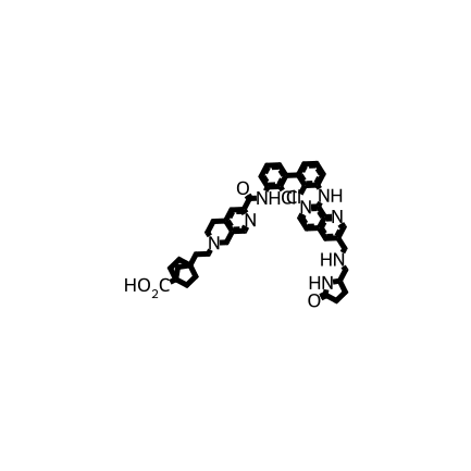 O=C1CCC(CNCc2cnc3c(Nc4cccc(-c5cccc(NC(=O)c6cc7c(cn6)CN(CCC68CCC(C(=O)O)(CC6)C8)CC7)c5Cl)c4Cl)nccc3c2)N1